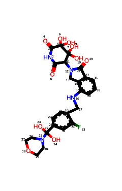 O=C1NC(=O)C(O)(O)C(O)(O)C1N1Cc2c(NCc3ccc(C(O)(O)N4CCOCC4)cc3F)cccc2C1=O